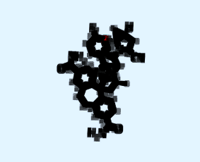 C[C@@H](CC1(c2nnc(-c3ccc(F)cc3)[nH]2)c2ccc(C(N)=O)cc2CCc2cc(C(N)=O)ccc21)NCC(=O)N1C(C#N)C[C@@H]2C[C@@H]21